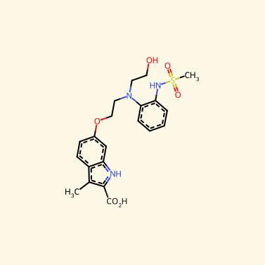 Cc1c(C(=O)O)[nH]c2cc(OCCN(CCO)c3ccccc3NS(C)(=O)=O)ccc12